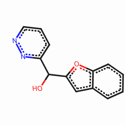 OC(c1cccnn1)c1cc2ccccc2o1